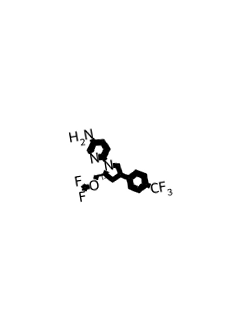 Nc1ccc(N2CC(c3ccc(C(F)(F)F)cc3)C[C@H]2COC(F)F)nc1